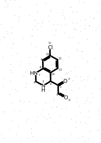 O=CC(=O)C1NCNc2cc(Cl)ccc21